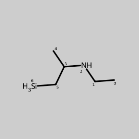 CCNC(C)C[SiH3]